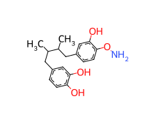 CC(Cc1ccc(O)c(O)c1)C(C)Cc1ccc(ON)c(O)c1